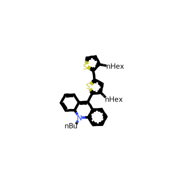 CCCCCCc1cc(-c2sccc2CCCCCC)sc1C1=C2C=CC=CC2N(CCCC)c2ccccc21